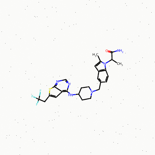 Cc1cc2cc(CN3CCC(Nc4ncnc5sc(CC(F)(F)F)cc45)CC3)ccc2n1C(C)C(N)=O